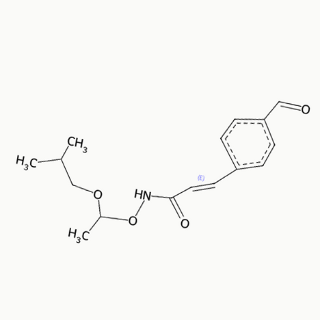 CC(C)COC(C)ONC(=O)/C=C/c1ccc(C=O)cc1